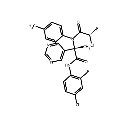 Cc1ccc(N(C(=O)[C@H](F)Cl)[C@](C)(C(=O)Nc2ccc(Cl)cc2F)c2cncnc2)cc1